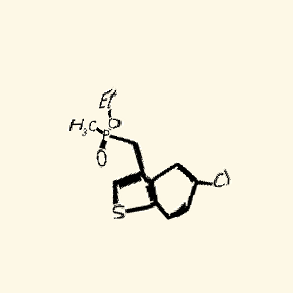 CCOP(C)(=O)Cc1csc2ccc(Cl)cc12